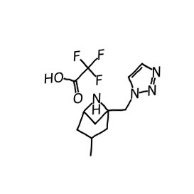 CC1CC2CC(Cn3ccnn3)(C1)N2.O=C(O)C(F)(F)F